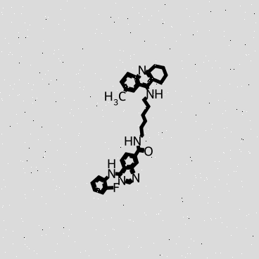 Cc1ccc2nc3c(c(NCCCCCCNC(=O)c4ccc5c(Nc6ccccc6F)ncnc5c4)c2c1)CCCC3